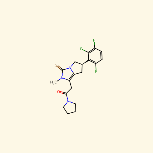 Cn1c(CC(=O)N2CCCC2)c2n(c1=S)C[C@@H](c1c(F)ccc(F)c1F)C2